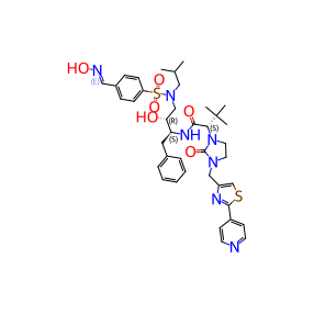 CC(C)CN(C[C@@H](O)[C@H](Cc1ccccc1)NC(=O)[C@@H](N1CCN(Cc2csc(-c3ccncc3)n2)C1=O)C(C)(C)C)S(=O)(=O)c1ccc(/C=N/O)cc1